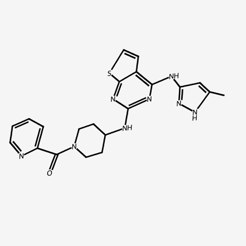 Cc1cc(Nc2nc(NC3CCN(C(=O)c4ccccn4)CC3)nc3sccc23)n[nH]1